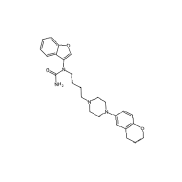 NC(=O)N(CCCCN1CCN(c2ccc3c(c2)CCCO3)CC1)c1coc2ccccc12